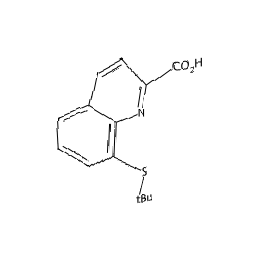 CC(C)(C)Sc1cccc2ccc(C(=O)O)nc12